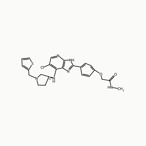 CNC(=O)COc1ccc(-c2nc3c(N[C@H]4CCN(Cc5cccs5)C4)c(Cl)cnc3[nH]2)cc1